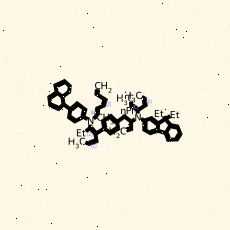 C=C/C=C\C=C(/C)N(/C(CC)=C(/C=C\C)c1ccc(C(CCC)C(C=C)N(C(/C=C\C)=C/C)c2ccc3c(c2)C(CC)(CC)c2ccccc2-3)cc1)c1ccc(C2C=CC=C3C=CCCC32)cc1